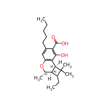 CCCCCc1cc2c(c(O)c1C(=O)O)[C@@H]1[C@@H](C(CC)C1(C)C)[C@H](C)O2